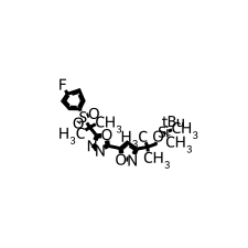 CC(C)(CO[Si](C)(C)C(C)(C)C)c1cc(-c2nnc(C(C)(C)S(=O)(=O)c3ccc(F)cc3)o2)on1